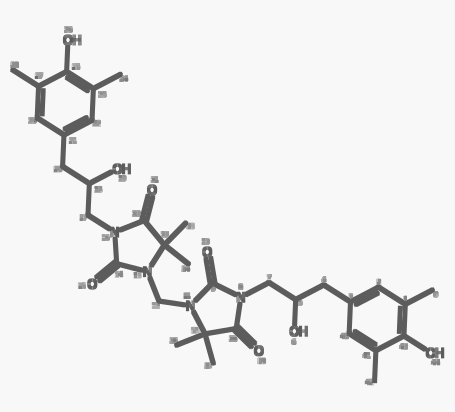 Cc1cc(CC(O)CN2C(=O)N(CN3C(=O)N(CC(O)Cc4cc(C)c(O)c(C)c4)C(=O)C3(C)C)C(C)(C)C2=O)cc(C)c1O